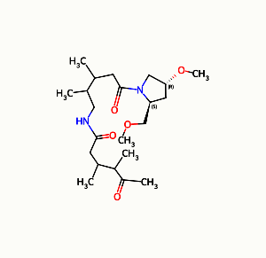 COC[C@@H]1C[C@@H](OC)CN1C(=O)CC(C)C(C)CNC(=O)CC(C)C(C)C(C)=O